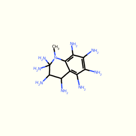 CN1c2c(N)c(N)c(N)c(N)c2C(N)C(N)C1(N)N